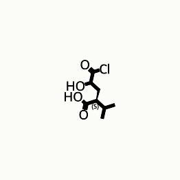 CC(C)[C@H](CC(O)C(=O)Cl)C(=O)O